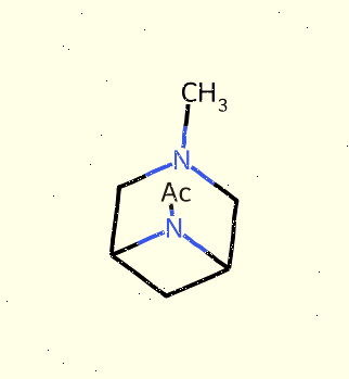 CC(=O)N1C2CC1CN(C)C2